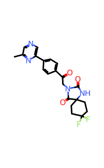 Cc1cncc(-c2ccc(C(=O)CN3C(=O)NC4(CCC(F)(F)CC4)C3=O)cc2)n1